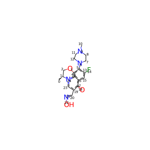 C[C@H]1COc2c(N3CCN(C)CC3)c(F)cc3c(=O)c(/C=N/O)cn1c23